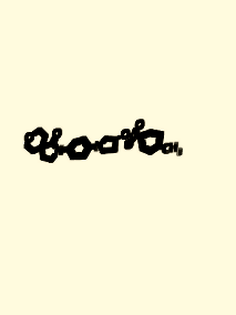 Cc1ccc(S(=O)(=O)O[C@@H]2CCN(c3ccc(N4CCC5(CCOCC5)C4=O)cc3)C2)cc1